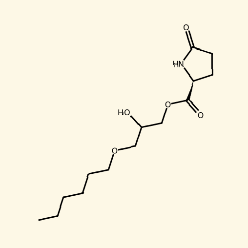 CCCCCCOCC(O)COC(=O)[C@@H]1CCC(=O)N1